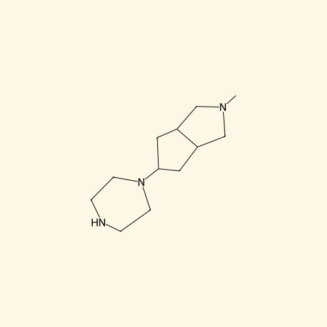 CN1CC2CC(N3CCNCC3)CC2C1